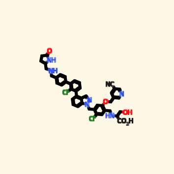 N#Cc1cncc(COc2cc(Cn3ncc4c(-c5cccc(-c6ccc(CNCC7CCC(=O)N7)cc6)c5Cl)cccc43)c(Cl)cc2CNC(CO)C(=O)O)c1